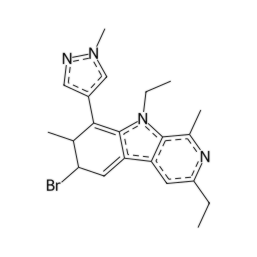 CCc1cc2c3c(n(CC)c2c(C)n1)=C(c1cnn(C)c1)C(C)C(Br)C=3